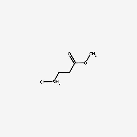 COC(=O)CC[SiH2]Cl